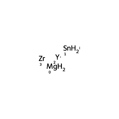 [MgH2].[SnH2].[Y].[Zr]